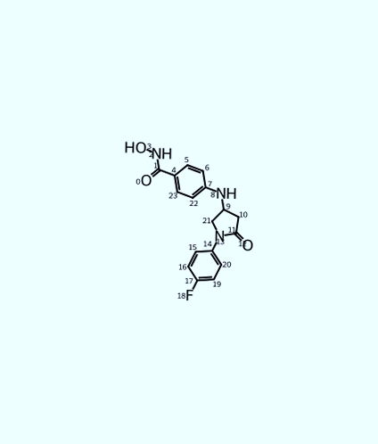 O=C(NO)c1ccc(NC2CC(=O)N(c3ccc(F)cc3)C2)cc1